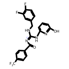 O=C(/N=C(/NCc1ccc(F)c(F)c1)Nc1cccc(O)n1)c1ccc(C(F)(F)F)cc1